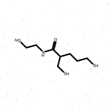 O=C(NCCO)C(CS)CCCS